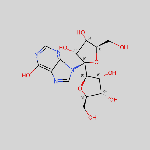 OC[C@H]1O[C@@H]([C@@]2(n3cnc4c(O)ncnc43)O[C@H](CO)[C@@H](O)[C@H]2O)[C@H](O)[C@@H]1O